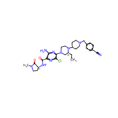 CC[C@H]1CN(c2nc(N)c(C(=O)N[C@H]3CCN(C)C3=O)nc2Cl)CCN1C1CCN(Cc2ccc(C#N)cc2)CC1